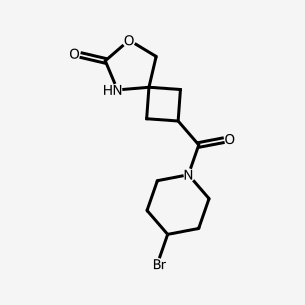 O=C1NC2(CO1)CC(C(=O)N1CCC(Br)CC1)C2